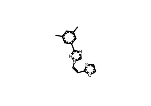 Cc1cc(C)cc(-c2ncn(/C=C\c3ncco3)n2)c1